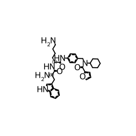 NCCCC[C@H](NC(=O)[C@@H](N)Cc1c[nH]c2ccccc12)C(=O)Nc1ccc(CN(C(=O)c2ccco2)C2CCCCC2)cc1